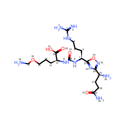 N=C(N)NCCC[C@H](NC(=O)N[C@@H](CCCOCN)C(=O)O)c1nc([C@@H](N)CCC(N)=O)no1